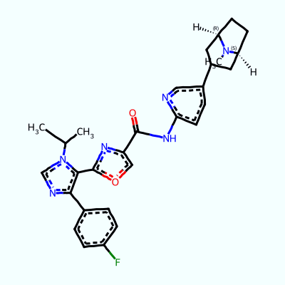 CC(C)n1cnc(-c2ccc(F)cc2)c1-c1nc(C(=O)Nc2ccc(C3C[C@H]4CC[C@@H](C3)N4C)cn2)co1